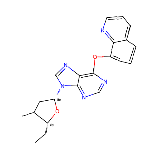 CC[C@H]1O[C@@H](n2cnc3c(Oc4cccc5cccnc45)ncnc32)CC1C